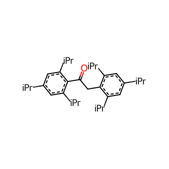 CC(C)c1cc(C(C)C)c(CC(=O)c2c(C(C)C)cc(C(C)C)cc2C(C)C)c(C(C)C)c1